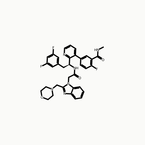 CNC(=O)c1cc(-c2cccnc2[C@H](Cc2cc(F)cc(F)c2)NC(=O)Cn2c(CN3CCOCC3)nc3ccccc32)ccc1F